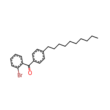 CCCCCCCCCCc1ccc(C(=O)c2ccccc2Br)cc1